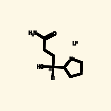 [Li+].[Li][C@](O)(CCC(N)=O)C1CCC[N-]1